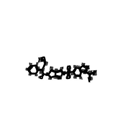 O=C([C@H](CO)c1ccccc1)N1Cc2cn(S(=O)(=O)c3ccc4c(cnn4C(F)F)c3)nc2C1